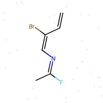 C=C/C(Br)=C\N=C(/C)F